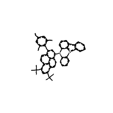 Cc1cc(C)c(-c2cc(N3c4ccccc4-n4c5ccccc5c5cccc3c54)c3ccc4c(C(C)(C)C)cc(C(C)(C)C)c5ccc2c3c54)c(C)c1